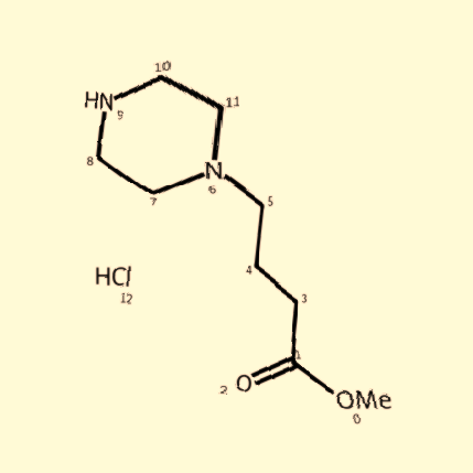 COC(=O)CCCN1CCNCC1.Cl